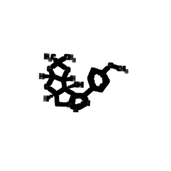 COc1ccc(-c2nnn3c2[C@@]2(O)[C@@H](C3)O[C@@H]3OC(C)(C)O[C@@H]32)cc1